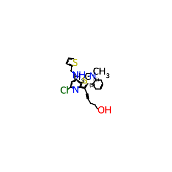 CN(C)[C@H]1CC=CC[C@@H]1c1sc2c(NCc3cccs3)cc(Cl)nc2c1C#CCCCO